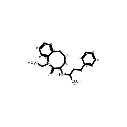 O=C(O)CN1C(=O)C(NC(CCc2ccccc2)C(=O)O)CCCc2ccccc21